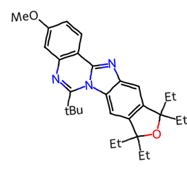 CCC1(CC)OC(CC)(CC)c2cc3c(cc21)nc1c2ccc(OC)cc2nc(C(C)(C)C)n31